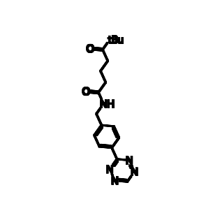 CC(C)(C)C(=O)CCCC(=O)NCc1ccc(-c2nncnn2)cc1